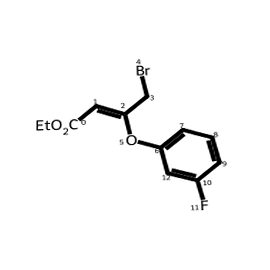 CCOC(=O)/C=C(/CBr)Oc1cccc(F)c1